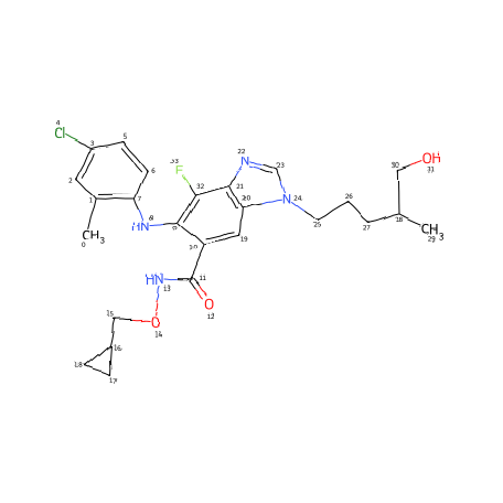 Cc1cc(Cl)ccc1Nc1c(C(=O)NOCC2CC2)cc2c(ncn2CCCC(C)CO)c1F